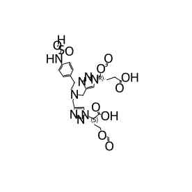 O=COCC[C@@H](C(=O)O)n1cc(CN(CCc2ccc(N[SH](=O)=O)cc2)Cc2cn([C@@H](CCC(=O)O)OC=O)nn2)nn1